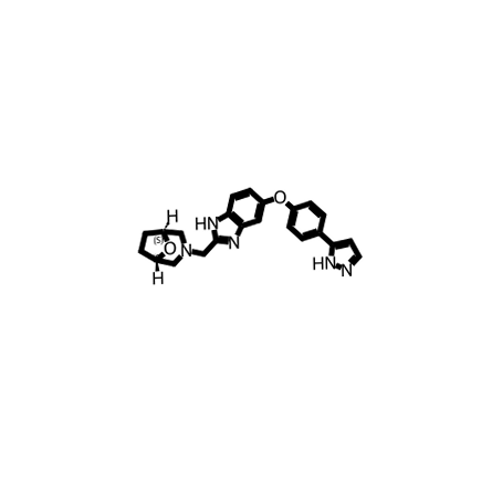 c1cc(-c2ccc(Oc3ccc4[nH]c(CN5C[C@@H]6CC[C@@H](C5)O6)nc4c3)cc2)[nH]n1